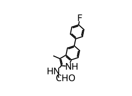 Cc1c(NC=O)[nH]c2ccc(-c3ccc(F)cc3)cc12